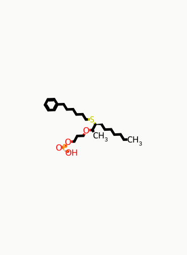 CCCCCCC[C@H](SCCCCCCc1ccccc1)C(C)OCCCO[P](=O)O